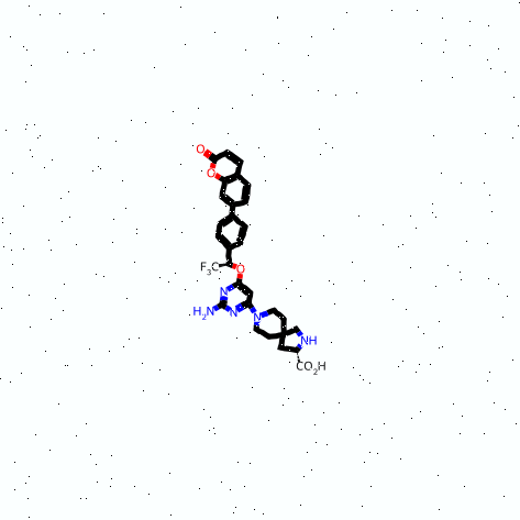 Nc1nc(O[C@H](c2ccc(-c3ccc4ccc(=O)oc4c3)cc2)C(F)(F)F)cc(N2CCC3(CC2)CN[C@H](C(=O)O)C3)n1